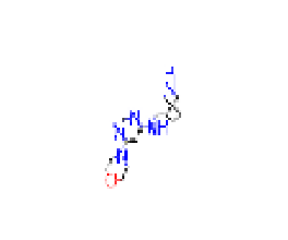 c1nc(NCC2CCC23CNC3)cc(N2CCOCC2)n1